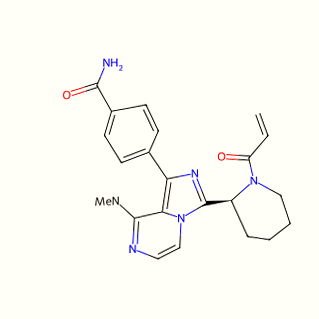 C=CC(=O)N1CCCC[C@H]1c1nc(-c2ccc(C(N)=O)cc2)c2c(NC)nccn12